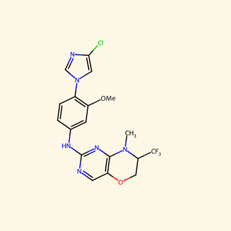 COc1cc(Nc2ncc3c(n2)N(C)C(C(F)(F)F)CO3)ccc1-n1cnc(Cl)c1